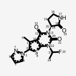 Cc1c(-n2cccn2)sc2c1c(=O)n([C@H]1CCNC1=O)c(=O)n2C(C)F